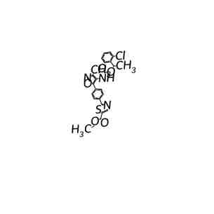 CCOC(=O)c1cnc(-c2ccc(-c3onc(C)c3NC(=O)OC(C)c3ccccc3Cl)cc2)s1